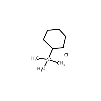 C[N+](C)(C)C1CCCCC1.[Cl-]